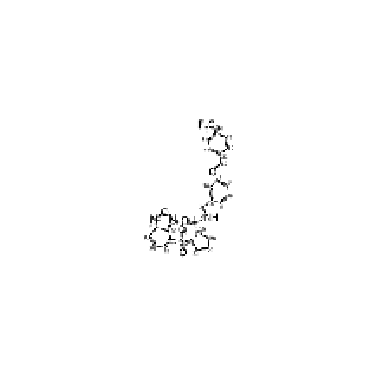 O=C(NCc1cccc(OCc2ccc(C(F)(F)F)cc2)c1)[C@@H]1CCCN1S(=O)(=O)c1cccc2nonc12